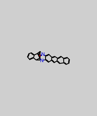 c1ccc2c(c1)C1c3cccc4c3C24c2nc3cc4cc5cc6ccccc6cc5cc4cc3nc21